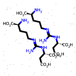 N/C(=N\CCC[C@H](N)C(=O)O)N[C@@H](CC(=O)O)C(=O)O.N/C(=N\CCC[C@H](N)C(=O)O)N[C@@H](CC(=O)O)C(=O)O